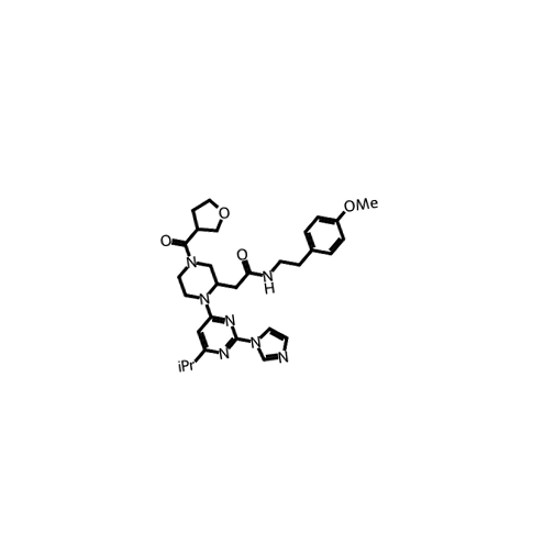 COc1ccc(CCNC(=O)CC2CN(C(=O)C3CCOC3)CCN2c2cc(C(C)C)nc(-n3ccnc3)n2)cc1